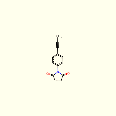 CC#Cc1ccc(N2C(=O)C=CC2=O)cc1